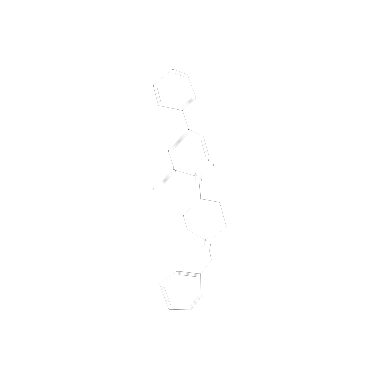 O=c1cc(-c2ccccc2)cnn1C1CCN(Cc2ccccc2)CC1